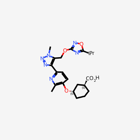 Cc1nc(-c2nnn(C)c2COc2noc(C(C)C)n2)ccc1O[C@H]1CCC[C@H](C(=O)O)C1